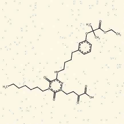 CCCCCCCn1c(=O)c(NCCCCc2cccc(OC(C)(C)C(=O)OCC)c2)nn(CCC(=O)C(=O)O)c1=O